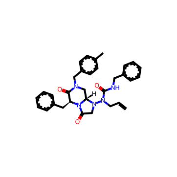 C=CCN(C(=O)NCc1ccccc1)N1CC(=O)N2[C@@H](Cc3ccccc3)C(=O)N(Cc3ccc(C)cc3)C[C@@H]21